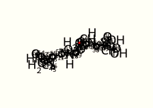 C=C1N(C2CCC2)c2cc(C3CCN(C(=O)Nc4cccc(CS(=O)(=O)N5CC[C@@H](Nc6cccc(-c7sc(C(=O)O)c(OCC(=O)O)c7Cl)c6)CC5(C)C)c4)CC3)ccc2N1C1CCC(=O)NC1=O